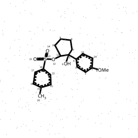 COc1ccc(C2(O)CCCCC2OS(=O)(=O)c2ccc(C)cc2)cc1